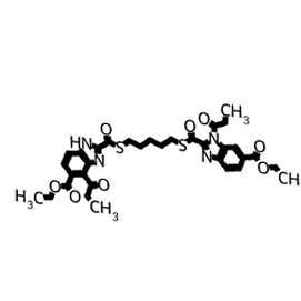 CCOC(=O)c1ccc2nc(C(=O)SCCCCCSC(=O)c3nc4c(C(=O)CC)c(C(=O)OCC)ccc4[nH]3)n(C(=O)CC)c2c1